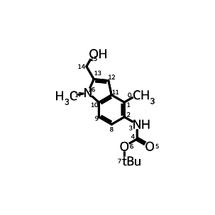 Cc1c(NC(=O)OC(C)(C)C)ccc2c1cc(CO)n2C